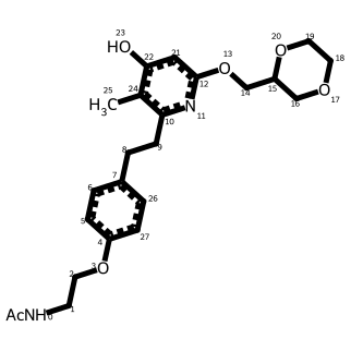 CC(=O)NCCOc1ccc(CCc2nc(OCC3COCCO3)cc(O)c2C)cc1